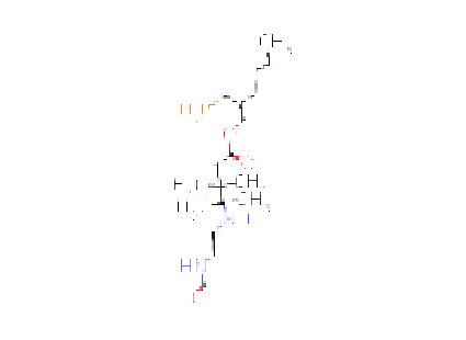 CCCCC(CP)COC(=O)CC(C)(C)C(C)(C)NCCNC=O